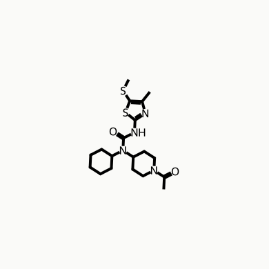 CSc1sc(NC(=O)N(C2CCCCC2)C2CCN(C(C)=O)CC2)nc1C